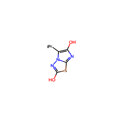 CC(C)c1c(O)nc2sc(O)nn12